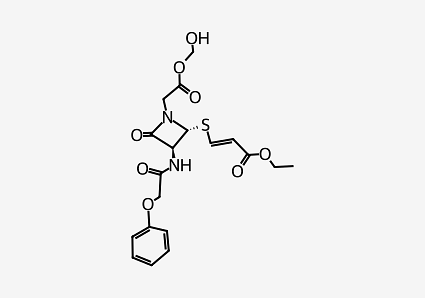 CCOC(=O)C=CS[C@@H]1[C@@H](NC(=O)COc2ccccc2)C(=O)N1CC(=O)OCO